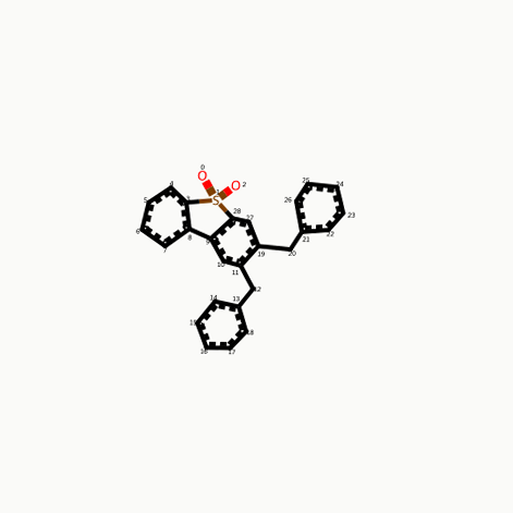 O=S1(=O)c2ccccc2-c2cc(Cc3ccccc3)c(Cc3ccccc3)cc21